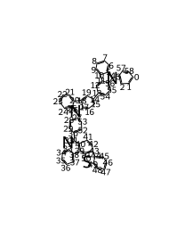 c1ccc(-n2c3ccccc3c3cc(-c4ccc5c(c4)c4ccccc4n5-c4ccc(-c5nc6ccccc6c6c5ccc5c7ccccc7sc56)cc4)ccc32)cc1